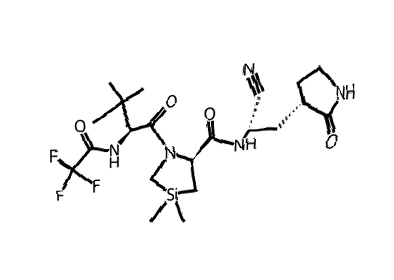 CC(C)(C)[C@H](NC(=O)C(F)(F)F)C(=O)N1C[Si](C)(C)C[C@@H]1C(=O)N[C@H](C#N)C[C@@H]1CCNC1=O